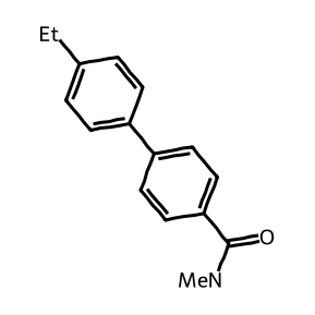 CCc1ccc(-c2ccc(C(=O)NC)cc2)cc1